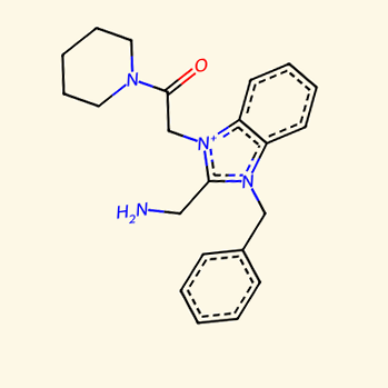 NCc1n(Cc2ccccc2)c2ccccc2[n+]1CC(=O)N1CCCCC1